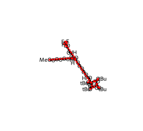 COCCOCCOCCOCCOCCOCCC(=O)N[C@H](CCCCNC(=O)CCCCC(=O)Oc1c(F)c(F)cc(F)c1F)C(=O)NCCOCCOCCOCCOCCOCCNC(=O)CCC(C(=O)OC(C)(C)C)N1CCN(CC(=O)OC(C)(C)C)CCN(CC(=O)OC(C)(C)C)CCN(CC(=O)OC(C)(C)C)CC1